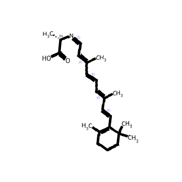 CC1=C(/C=C/C(C)=C/C=C/C(C)=C/C=N\[C@@H](C)C(=O)O)C(C)(C)CCC1